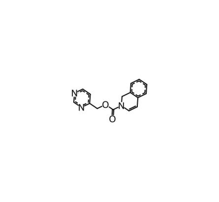 O=C(OCc1ccncn1)N1C=Cc2ccccc2C1